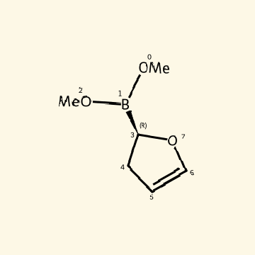 COB(OC)[C@@H]1CC=CO1